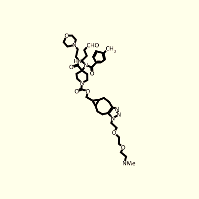 CNCCOCCOCCn1nnc2c1CCC1C(CC2)C1COC(=O)N1CCC(C(=O)NCCN2CCOCC2)(N(CCCC=O)C(=O)c2ccc(C)cc2)CC1